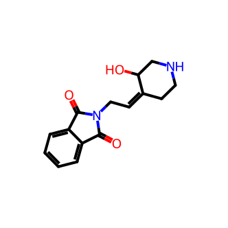 O=C1c2ccccc2C(=O)N1C/C=C1/CCNCC1O